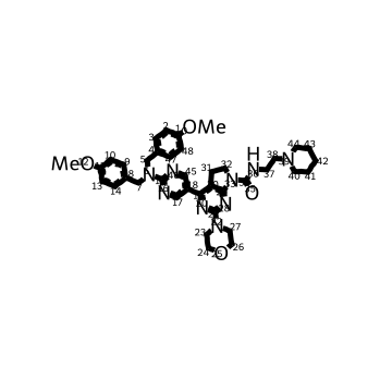 COc1ccc(CN(Cc2ccc(OC)cc2)c2ncc(-c3nc(N4CCOCC4)nc4c3CCN4C(=O)NCCN3CCCCC3)cn2)cc1